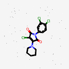 O=C1C(Cl)=C(N2CCCCC2)C(=O)N1c1ccc(Cl)c(Cl)c1